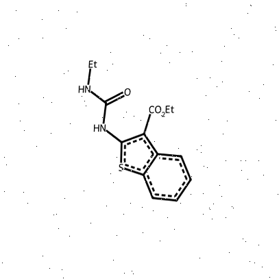 CCNC(=O)Nc1sc2ccccc2c1C(=O)OCC